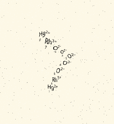 [Hg+2].[Hg+2].[O-2].[O-2].[O-2].[O-2].[O-2].[Rh+3].[Rh+3]